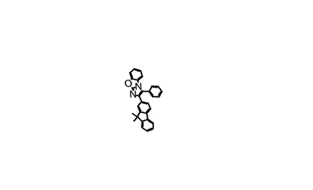 CC1(C)c2ccccc2-c2ccc(-c3nc4oc5ccccc5n4c3-c3ccccc3)cc21